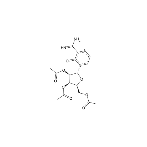 CC(=O)OC[C@@H]1O[C@@H](n2ccnc(C(=N)N)c2=O)[C@H](OC(C)=O)[C@@H]1OC(C)=O